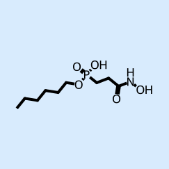 CCCCCCOP(=O)(O)CCC(=O)NO